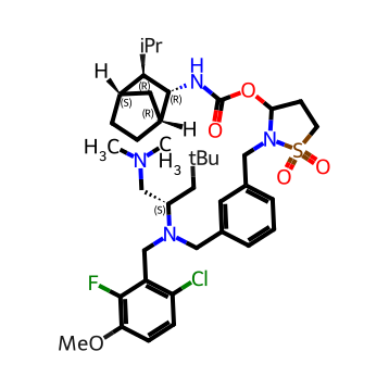 COc1ccc(Cl)c(CN(Cc2cccc(CN3C(OC(=O)N[C@@H]4[C@@H]5CC[C@@H](C5)[C@H]4C(C)C)CCS3(=O)=O)c2)[C@H](CN(C)C)CC(C)(C)C)c1F